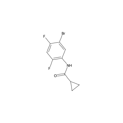 O=C(Nc1cc(Br)c(F)cc1F)C1CC1